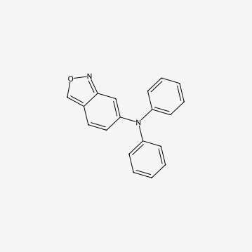 c1ccc(N(c2ccccc2)c2ccc3conc3c2)cc1